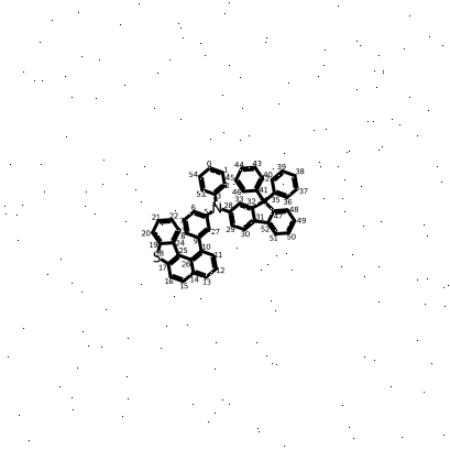 c1ccc(N(c2cccc(-c3cccc4ccc5sc6ccccc6c5c34)c2)c2ccc3c(c2)C(c2ccccc2)(c2ccccc2)c2ccccc2-3)cc1